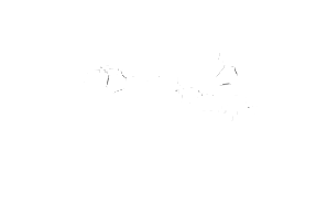 CC1(OCc2ccc(F)cc2C(C(=O)O)N2CC[C@@H](OCCCCc3ccc4c(n3)NCCC4)C2)CC1